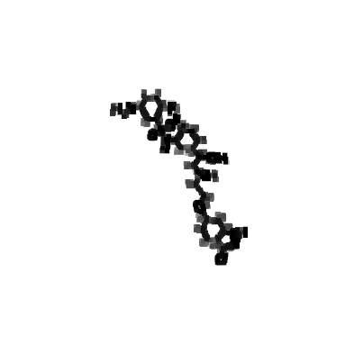 Nc1ccc(F)c(S(=O)(=O)Nc2cc([C@@H](O)CNCCOc3ccc4c(Cl)n[nH]c4c3)ccc2F)c1